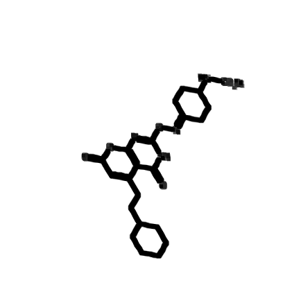 CCOC(=O)NC1CCC(=NOc2nc3oc(=O)cc(CCC4CCCCC4)c3c(=O)[nH]2)CC1